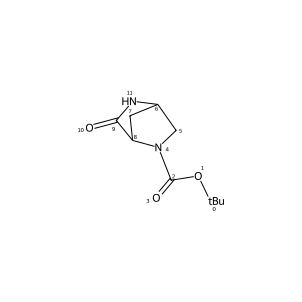 CC(C)(C)OC(=O)N1CC2CC1C(=O)N2